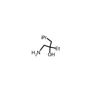 CCC(O)(CN)CC(C)C